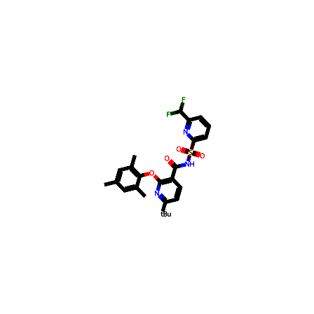 Cc1cc(C)c(Oc2nc(C(C)(C)C)ccc2C(=O)NS(=O)(=O)c2cccc(C(F)F)n2)c(C)c1